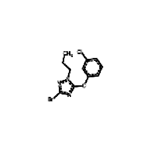 CCCn1nc(Br)nc1Oc1cccc(Cl)c1